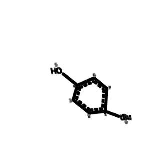 [CH2]C(C)(C)c1ccc(O)cc1